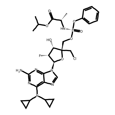 CC(C)OC(=O)[C@H](C)N[P@](=O)(OC[C@@]1(CCl)O[C@@H](n2cnc3c(N(C4CC4)C4CC4)nc(N)nc32)[C@H](F)[C@@H]1O)Oc1ccccc1